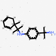 CC(C)(N)c1ccc(NC(C)(C)C2(C)C=CC=CC2)cc1